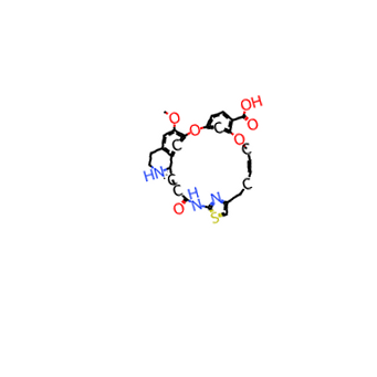 COc1cc2c3cc1Oc1ccc(C(=O)O)c(c1)OC/C=C\CCc1csc(n1)NC(=O)CC[C@@]3(C)NCC2